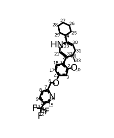 COc1cc(OCc2ccc(C(F)(F)F)cn2)ccc1C1=CNC(C2CCCCC2)=CC[C@H]1C